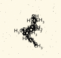 C=C(C)[C@@H]1CC[C@]2(CC(=O)NC3CCN(CCOC)CC3)CC[C@]3(C)[C@H](CC[C@@H]4[C@@]5(C)CC[C@H](OC(=O)CC(C)(C)CC(=O)O)C(C)(C)[C@@H]5CC[C@]43C)[C@@H]12